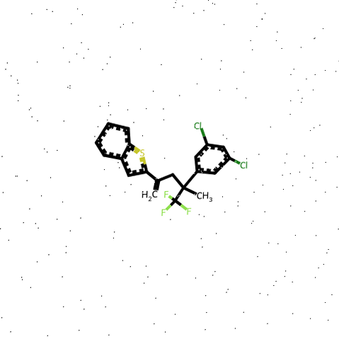 C=C(CC(C)(c1cc(Cl)cc(Cl)c1)C(F)(F)F)c1cc2ccccc2s1